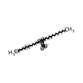 CCCCCCCCCCCCCCO[N+](=O)OCCCCCCCCCCCCCC.O=[N+]([O-])[O-]